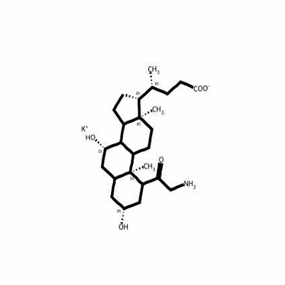 C[C@H](CCC(=O)[O-])[C@H]1CCC2C3C(CC[C@@]21C)[C@]1(C)C(C[C@@H](O)CC1C(=O)CN)C[C@@H]3O.[K+]